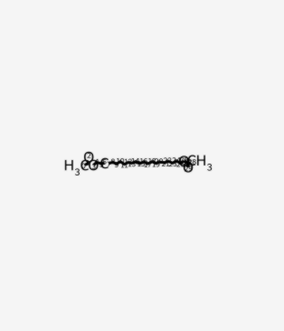 CC(=O)OCCCCCCCCCC/C=C/CCCCCCCCCCOC(C)=O